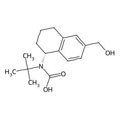 CC(C)(C)N(C(=O)O)[C@@H]1CCCc2cc(CO)ccc21